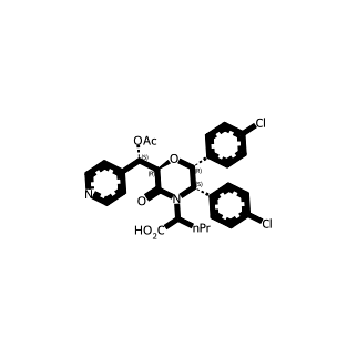 CCCC(C(=O)O)N1C(=O)[C@@H]([C@@H](OC(C)=O)c2ccncc2)O[C@H](c2ccc(Cl)cc2)[C@@H]1c1ccc(Cl)cc1